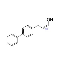 O/C=C\Cc1ccc(-c2ccccc2)cc1